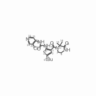 CC(C)(C)c1cc(C(=O)N2CCNC(=O)C2(C)C)c(NC(=O)Nc2ccncc2Cl)s1